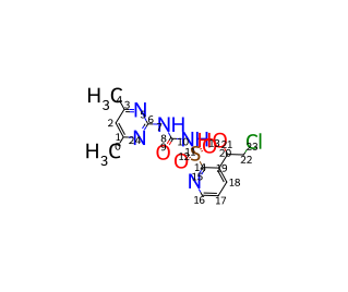 Cc1cc(C)nc(NC(=O)NS(=O)(=O)c2ncccc2C(O)CCl)n1